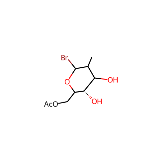 CC(=O)OCC1OC(Br)C(C)C(O)[C@@H]1O